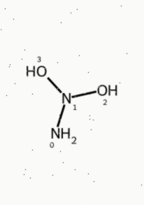 NN(O)O